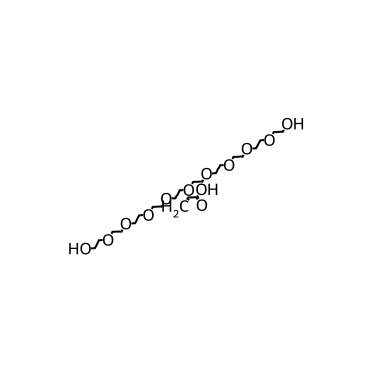 C=CC(=O)O.OCCOCCOCCOCCOCCOCCOCCOCCOCCOCCO